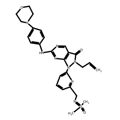 C=CCn1c(=O)c2cnc(Nc3ccc(N4CCOCC4)cc3)nc2n1-c1cccc(CN=S(C)(C)=O)n1